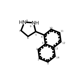 c1ccc2c(C3CCNN3)cccc2c1